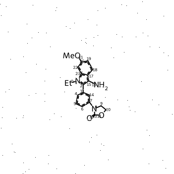 CCn1c(-c2cccc(N3CCOC3=O)c2)c(N)c2ccc(OC)cc21